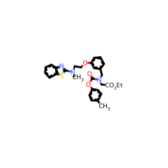 CCOC(=O)CN(Cc1cccc(OCCN(C)c2nc3ccccc3s2)c1)C(=O)Oc1ccc(C)cc1